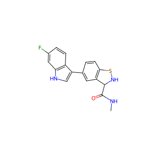 CNC(=O)C1NSc2ccc(-c3c[nH]c4cc(F)ccc34)cc21